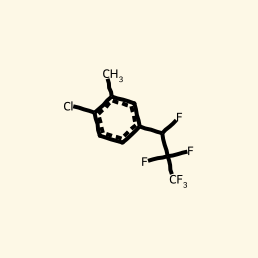 Cc1cc(C(F)C(F)(F)C(F)(F)F)ccc1Cl